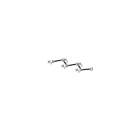 [SiH3][SiH2][SiH2][SiH2][SiH2]Cl